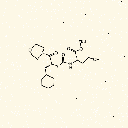 CC(C)(C)OC(=O)C(CCO)NC(=O)O[C@@H](CC1CCCCC1)C(=O)N1CCOCC1